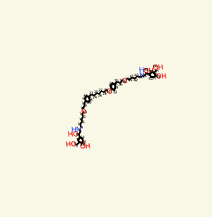 OCc1cc(C(O)CNCCCCCCOCCCc2ccc(CCCCCCCOc3ccc(CCCOCCCCCCNCC(O)c4ccc(O)c(CO)c4)cc3)cc2)ccc1O